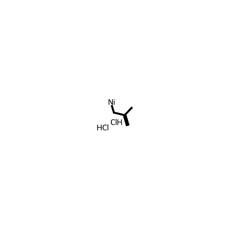 C=C(C)[CH2][Ni].Cl.Cl